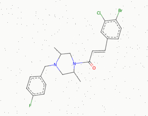 CC1CN(C(=O)C=Cc2ccc(Br)c(Cl)c2)C(C)CN1Cc1ccc(F)cc1